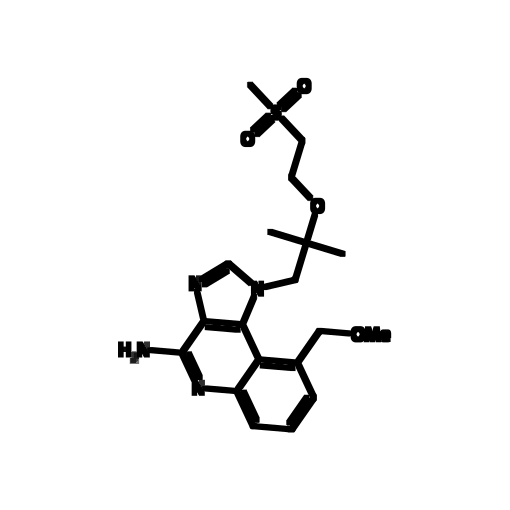 COCc1cccc2nc(N)c3ncn(CC(C)(C)OCCS(C)(=O)=O)c3c12